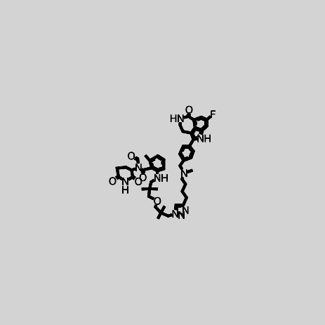 Cc1cccc(NCC(C)(C)COCC(C)(C)Cn2cc(CCCCN(C)Cc3ccc(-c4[nH]c5cc(F)cc6c5c4CCNC6=O)cc3)nn2)c1C(=O)N(C=O)C1CCC(=O)NC1=O